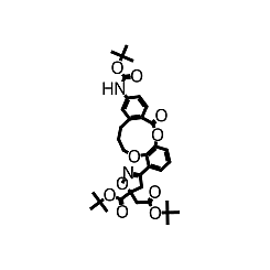 CC(C)(C)OC(=O)CC1(C(=O)OC(C)(C)C)CC(c2cccc3c2OCCCc2cc(NC(=O)OC(C)(C)C)ccc2C(=O)O3)=NO1